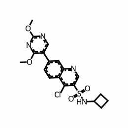 COc1ncc(-c2ccc3c(Cl)c(S(=O)(=O)NC4CCC4)cnc3c2)c(OC)n1